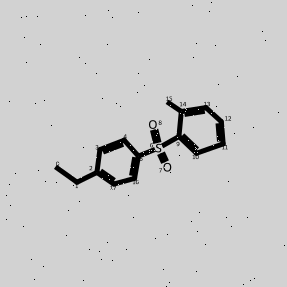 CCc1ccc(S(=O)(=O)c2ccccc2C)cc1